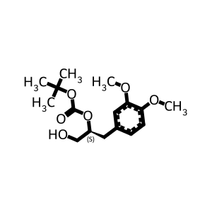 COc1ccc(C[C@@H](CO)OC(=O)OC(C)(C)C)cc1OC